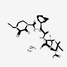 CCN1CCN(C(=O)N[C@@H](C(=O)N[C@@H]2C(=O)N3[C@@H]2SC(C)(C)[C@@H]3C(=O)[O-])c2ccccc2)C(=O)C1=O.O.[Na+]